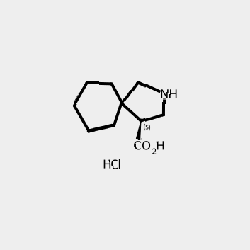 Cl.O=C(O)[C@@H]1CNCC12CCCCC2